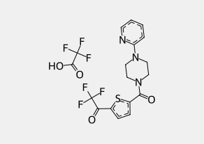 O=C(O)C(F)(F)F.O=C(c1ccc(C(=O)C(F)(F)F)s1)N1CCN(c2ccccn2)CC1